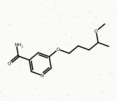 COC(C)CCCOc1cncc(C(N)=O)c1